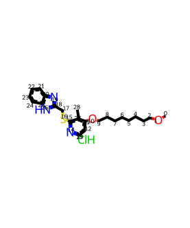 COCCCCCCCCOc1ccnc(SCc2nc3ccccc3[nH]2)c1C.Cl